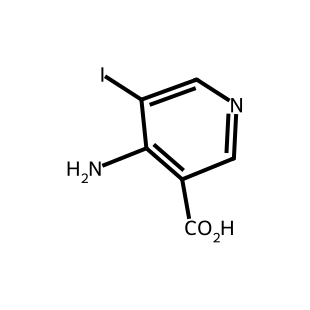 Nc1c(I)cncc1C(=O)O